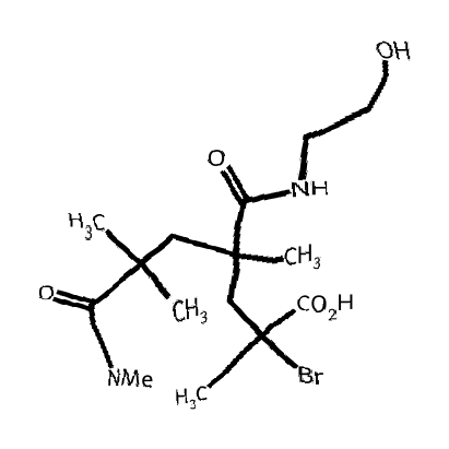 CNC(=O)C(C)(C)CC(C)(CC(C)(Br)C(=O)O)C(=O)NCCO